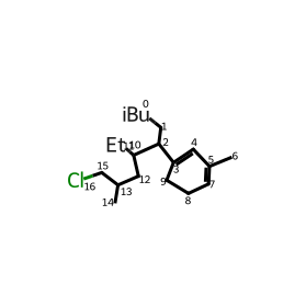 CCC(C)CC(C1=CC(C)=CCC1)C(CC)CC(C)CCl